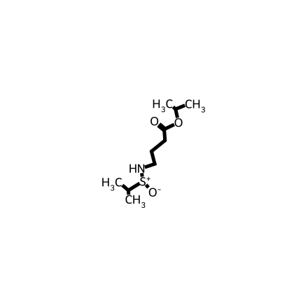 CC(C)OC(=O)CCCN[S+]([O-])C(C)C